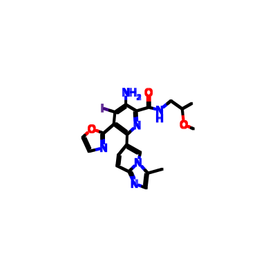 COC(C)CNC(=O)c1nc(-c2ccc3ncc(C)n3c2)c(-c2ncco2)c(I)c1N